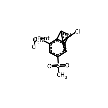 CCCCCCl.CS(=O)(=O)c1cc([N+](=O)[O-])c2c3nc-2c(Cl)cc13